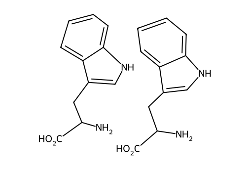 NC(Cc1c[nH]c2ccccc12)C(=O)O.NC(Cc1c[nH]c2ccccc12)C(=O)O